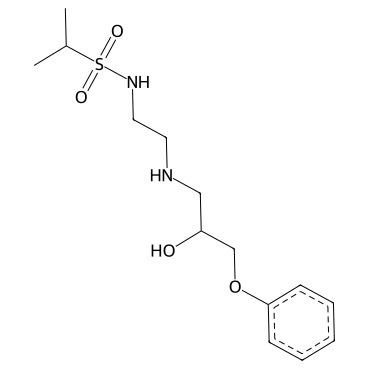 CC(C)S(=O)(=O)NCCNCC(O)COc1ccccc1